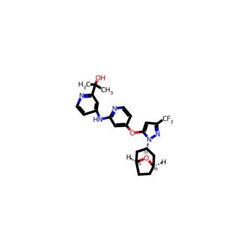 CC(C)(O)c1cc(Nc2cc(Oc3cc(C(F)(F)F)nn3[C@@H]3C[C@H]4CC[C@@H](C3)O4)ccn2)ccn1